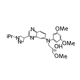 COC[C@@H](O)CN(c1cc(OC)cc(OC)c1)c1ccc2ncc(C3C=NN(C(C)C)C3)nc2c1